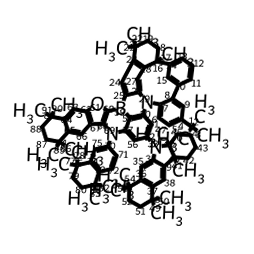 CC(C)(C)c1ccc2c(c1)-c1cccc(c1)C1(C)CCC(C)(C)c3cc4c(cc31)N2c1cc(N2c3cc5c(cc3C3(C)CCCCC23C)C(C)(C)CCC5(C)C)cc2c1B4c1oc3cc4c(cc3c1N2c1ccc2c(c1)C(C)(C)CCC2(C)C)C(C)(C)CCC4(C)C